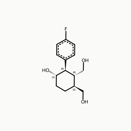 OC[C@H]1CC[C@H](O)[C@@H](c2ccc(F)cc2)[C@@H]1CO